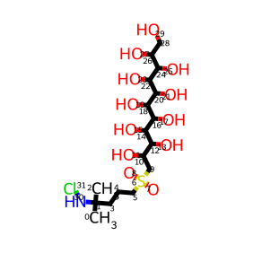 CC(C)(CCCS(=O)(=O)CC(O)C(O)C(O)C(O)C(O)C(O)C(O)C(O)C(O)CO)NCl